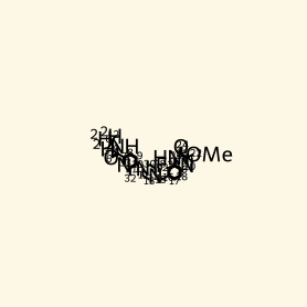 [2H]C([2H])([2H])NC(=O)c1ccc(N2CCN(Cc3ccc4nc(OC)c(=O)[nH]c4c3F)CC2)c(C)n1